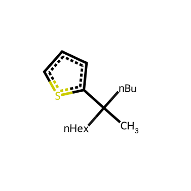 CCCCCCC(C)(CCCC)c1cccs1